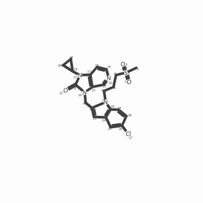 CS(=O)(=O)CCCn1c(Cn2c(=O)n(C3CC3)c3ccncc32)cc2cc(Cl)ccc21